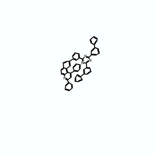 c1ccc(-c2cccc(-c3nc(-c4cccc(-c5ccccc5)c4)nc(-c4cccc(-c5ccc6ccc7nc(-c8ccccc8)cc(-c8ccccc8)c7c6c5)c4)n3)c2)cc1